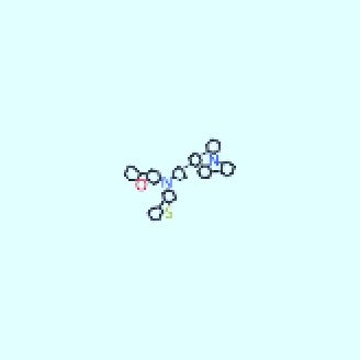 c1ccc(-n2c3ccccc3c3ccccc32)c(-c2ccc(-c3ccc(N(c4ccc5c(c4)oc4ccccc45)c4ccc5sc6ccccc6c5c4)cc3)cc2)c1